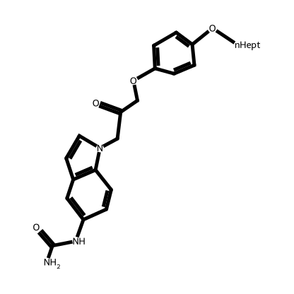 CCCCCCCOc1ccc(OCC(=O)Cn2ccc3cc(NC(N)=O)ccc32)cc1